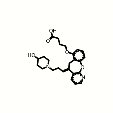 O=C(O)CCCOc1cccc2c1CC(=CCCN1CCC(O)CC1)c1cccnc1O2